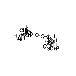 CN(C(=O)O)[C@@H](C(=O)N1[C@@H]2C[C@@H]2C[C@H]1c1nc(-c2ccc(-c3ccc(-c4c[nH]c([C@@H]5C[C@H]6C[C@H]6N5C(=O)[C@@H](c5ccccc5)N(C)C(=O)O)n4)cc3)cc2)c[nH]1)c1ccccc1